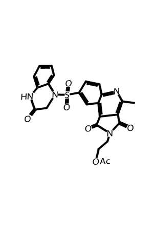 CC(=O)OCCN1C(=O)c2c(C)nc3ccc(S(=O)(=O)N4CC(=O)Nc5ccccc54)cc3c2C1=O